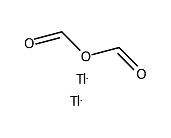 O=COC=O.[Tl].[Tl]